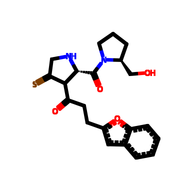 O=C(CCc1cc2ccccc2o1)C1C(=S)CN[C@@H]1C(=O)N1CCC[C@H]1CO